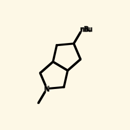 CCCCC1CC2CN(C)CC2C1